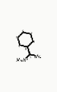 CNC(C(C)=O)C1CCCCC1